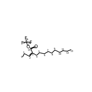 CCC=C(CCCCCCCCCC)C(=O)OC(F)(F)F